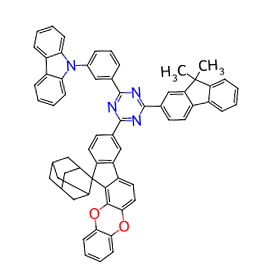 CC1(C)c2ccccc2-c2ccc(-c3nc(-c4cccc(-n5c6ccccc6c6ccccc65)c4)nc(-c4ccc5c(c4)-c4ccc6c(c4C54C5CC7CC(C5)CC4C7)Oc4ccccc4O6)n3)cc21